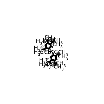 CC(C)(C)c1cc(C(C)(C)C)c(C(C)(C)C)cc1SSc1cc(C(C)(C)C)c(C(C)(C)C)cc1C(C)(C)C